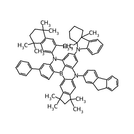 Cc1cc2c(cc1N1c3cc(-c4ccccc4)ccc3B3c4cc5c(cc4N(c4ccc6c(c4)Cc4ccccc4-6)c4cc(N6c7ccccc7C7(C)CCCCC67C)cc1c43)C(C)(C)CC5(C)C)C(C)(C)CCC2(C)C